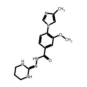 COc1cc(C(=O)NN=C2NCCCN2)ccc1-n1cnc(C)c1